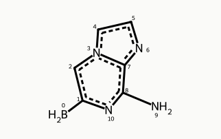 Bc1cn2ccnc2c(N)n1